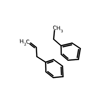 C=CCc1ccccc1.CCc1ccccc1